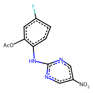 CC(=O)Oc1cc(F)ccc1Nc1ncc([N+](=O)[O-])cn1